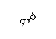 [CH2]c1cccc(C(=O)Nc2cccc(C)n2)c1